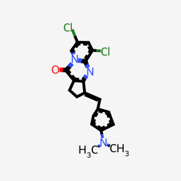 CN(C)c1ccc(C=C2CCc3c2nc2c(Cl)cc(Cl)cn2c3=O)cc1